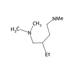 CCC(CCNC)CN(C)C